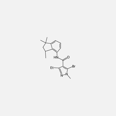 CCc1nn(C)c(Br)c1C(=O)Nc1cccc2c1C(C)CC2(C)C